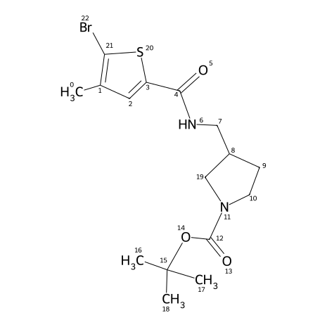 Cc1cc(C(=O)NCC2CCN(C(=O)OC(C)(C)C)C2)sc1Br